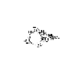 CC(=O)O/N=C(\N)c1ccc(C[C@H]2NC(=O)[C@@H](C)N(C)C(=O)[C@H](C3CC3)NCCOc3cc(F)ccc3CCCNC2=O)cc1